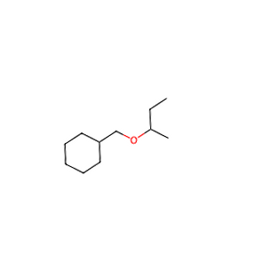 CCC(C)OCC1CCCCC1